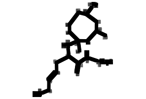 C=C(NCCCCCCC)C(C/C=C/CO)NC1(C)CCCC(CC)CC(C)C1